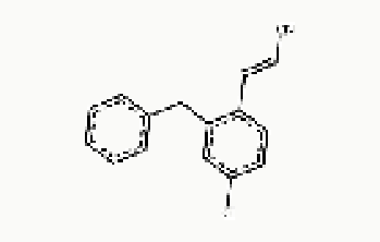 N#CC=Cc1ccc(Cl)cc1Cc1ccccc1